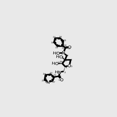 O=C(NC[C@H]1OC[C@@](O)(CN(O)C(=O)c2ccccc2)[C@@H]1O)c1cccnc1